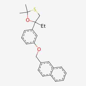 CCC1(c2cccc(OCc3ccc4ccccc4c3)c2)CSC(C)(C)O1